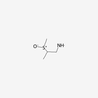 CC(C[NH])[S+](C)[O-]